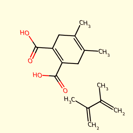 C=C(C)C(=C)C.CC1=C(C)CC(C(=O)O)=C(C(=O)O)C1